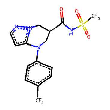 CS(=O)(=O)NC(=O)C1CN(c2ccc(C(F)(F)F)cc2)c2ccnn2C1